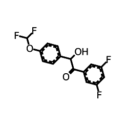 O=C(c1cc(F)cc(F)c1)C(O)c1ccc(OC(F)F)cc1